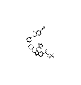 N#Cc1ccc(COc2cccc(N3CCN(Cc4nc5ccc(C(=O)NCC(F)(F)F)cc5n4Cc4ncco4)CC3)n2)c(F)c1